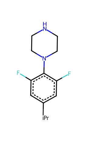 CC(C)c1cc(F)c(N2CCNCC2)c(F)c1